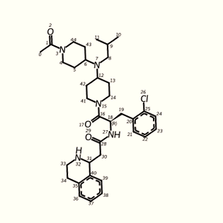 CC(=O)N1CCC(N(CC(C)C)C2CCN(C(=O)[C@@H](Cc3ccccc3Cl)NC(=O)CC3NCCc4ccccc43)CC2)CC1